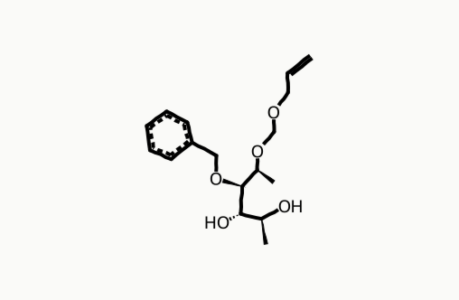 C=CCOCO[C@@H](C)[C@H](OCc1ccccc1)[C@@H](O)[C@H](C)O